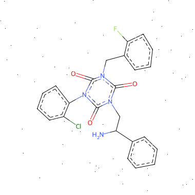 NC(Cn1c(=O)n(Cc2ccccc2F)c(=O)n(-c2ccccc2Cl)c1=O)c1ccccc1